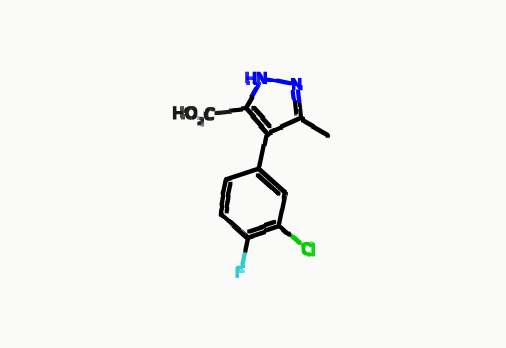 Cc1n[nH]c(C(=O)O)c1-c1ccc(F)c(Cl)c1